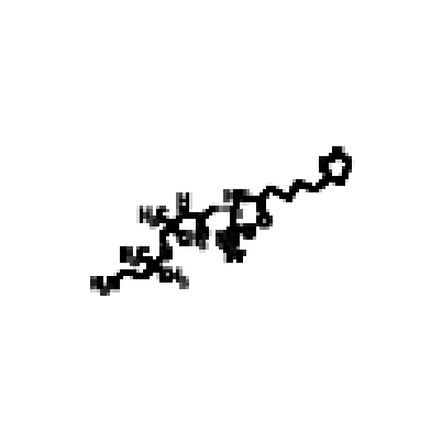 CC(C)NC(=O)[C@H](CC(=O)NC(C)(C)COC(C)(C)CCN)NC(=O)CCCCC1CCSS1